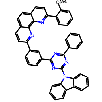 COc1ccccc1-c1ccc2ccc3ccc(-c4cccc(-c5nc(-c6ccccc6)nc(-n6c7ccccc7c7ccccc76)n5)c4)nc3c2n1